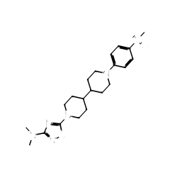 CN(C)c1nsc(N2CCC(C3CCN(c4ccc(S(C)(=O)=O)cc4)CC3)CC2)n1